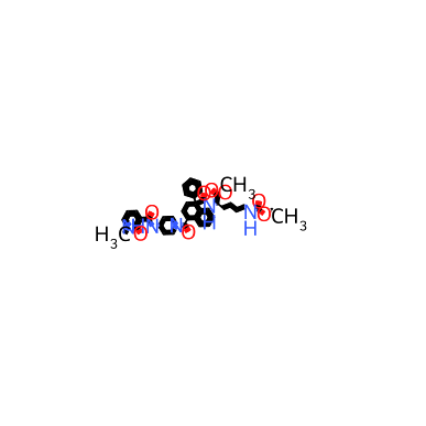 CCOC(=O)NCCCC[C@@H](NC(=O)[C@@]1(c2ccccc2)CC[C@H](C(=O)N2CCC(NC(=O)c3cccn(C)c3=O)CC2)c2ccccc21)C(=O)OC